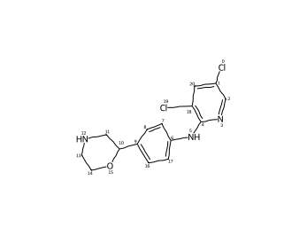 Clc1cnc(Nc2ccc(C3CNCCO3)cc2)c(Cl)c1